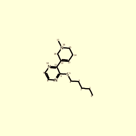 CCCCCSc1nccnc1C1=CCCN(C)C1